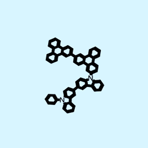 c1ccc(-n2c3ccccc3c3cc(-c4ccc5c(c4)c4ccccc4n5-c4ccc5c6ccccc6c6cc(-c7ccc8c9ccccc9c9ccccc9c8c7)ccc6c5c4)ccc32)cc1